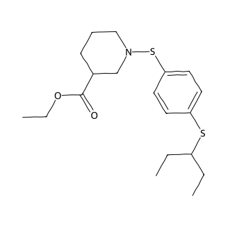 CCOC(=O)C1CCCN(Sc2ccc(SC(CC)CC)cc2)C1